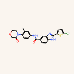 Cc1cc(NC(=O)c2ccc3[nH]c(-c4ccc(Cl)s4)nc3c2)ccc1N1CCOCC1=O